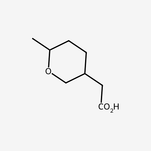 CC1CCC(CC(=O)O)CO1